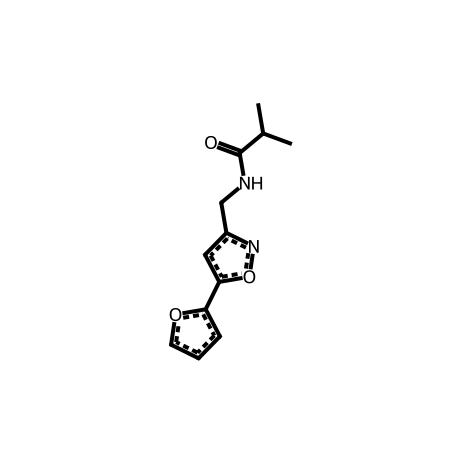 CC(C)C(=O)NCc1cc(-c2ccco2)on1